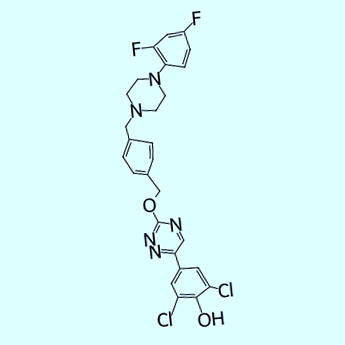 Oc1c(Cl)cc(-c2cnc(OCc3ccc(CN4CCN(c5ccc(F)cc5F)CC4)cc3)nn2)cc1Cl